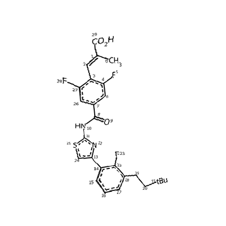 CC(=Cc1c(F)cc(C(=O)Nc2nc(-c3cccc(CCC(C)(C)C)c3F)cs2)cc1F)C(=O)O